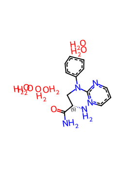 NC(=O)[C@@H](N)CN(c1ccccc1)c1ncccn1.O.O.O.O.O.O